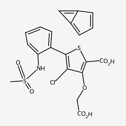 CS(=O)(=O)Nc1ccccc1-c1sc(C(=O)O)c(OCC(=O)O)c1Cl.c1cc2cc-2c1